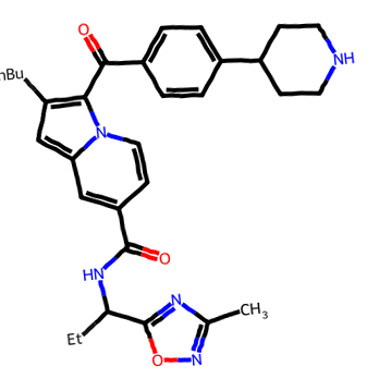 CCCCc1cc2cc(C(=O)NC(CC)c3nc(C)no3)ccn2c1C(=O)c1ccc(C2CCNCC2)cc1